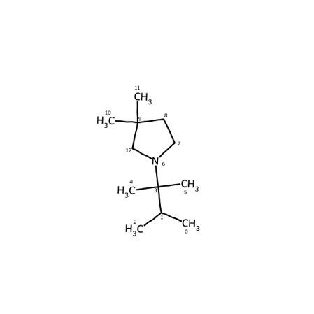 CC(C)C(C)(C)N1CCC(C)(C)C1